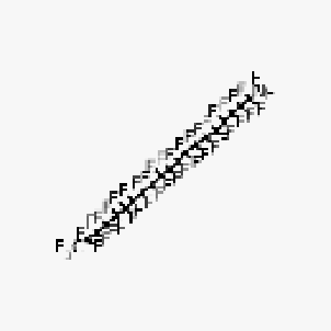 FN(F)C(F)(F)C(F)(F)C(F)(F)C(F)(F)C(F)(F)C(F)(F)C(F)(F)C(F)(F)C(F)(F)C(F)(F)C(F)(F)C(F)(F)C(F)(F)C(F)(F)C(F)(F)C(F)(F)C(F)(F)C(F)(F)C(F)(F)C(F)(F)F